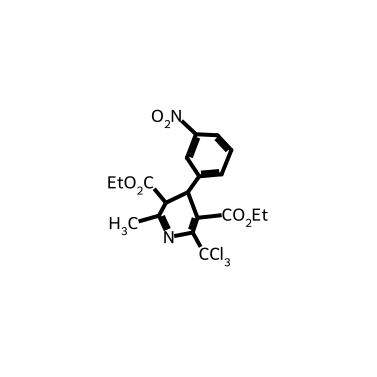 CCOC(=O)C1=C(C(Cl)(Cl)Cl)N=C(C)C(C(=O)OCC)C1c1cccc([N+](=O)[O-])c1